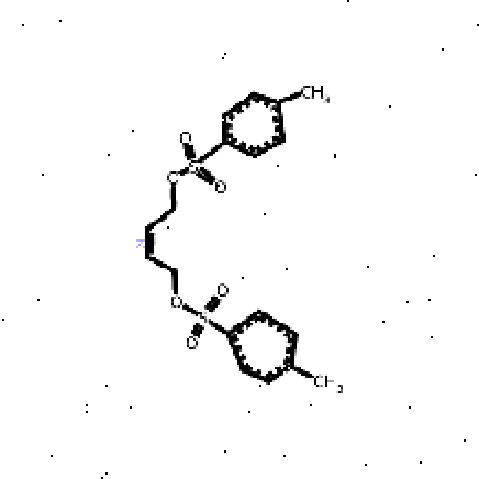 Cc1ccc(S(=O)(=O)OC/C=C\COS(=O)(=O)c2ccc(C)cc2)cc1